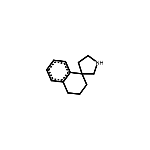 c1ccc2c(c1)CCCC21CCNC1